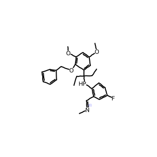 CCC(CC)(Pc1ccc(F)cc1/C=N/C)c1cc(OC)cc(OC)c1OCc1ccccc1